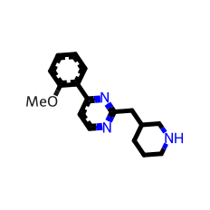 COc1ccccc1-c1ccnc(CC2CCCNC2)n1